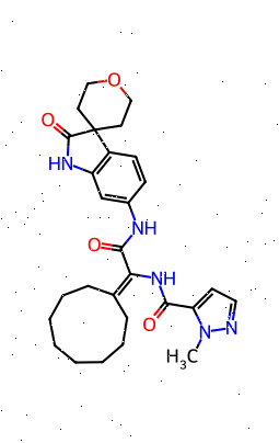 Cn1nccc1C(=O)NC(C(=O)Nc1ccc2c(c1)NC(=O)C21CCOCC1)=C1CCCCCCCC1